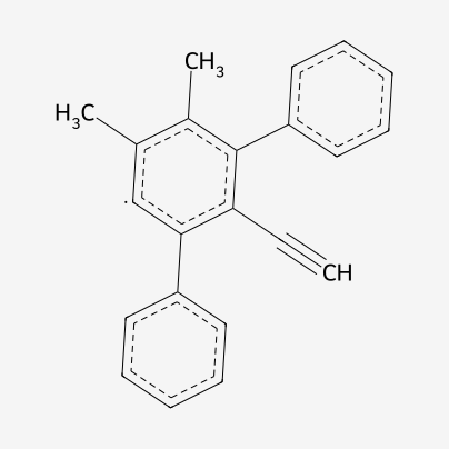 C#Cc1c(-c2ccccc2)[c]c(C)c(C)c1-c1ccccc1